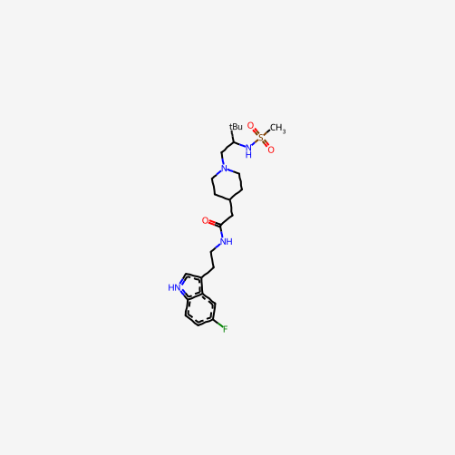 CC(C)(C)C(CN1CCC(CC(=O)NCCc2c[nH]c3ccc(F)cc23)CC1)NS(C)(=O)=O